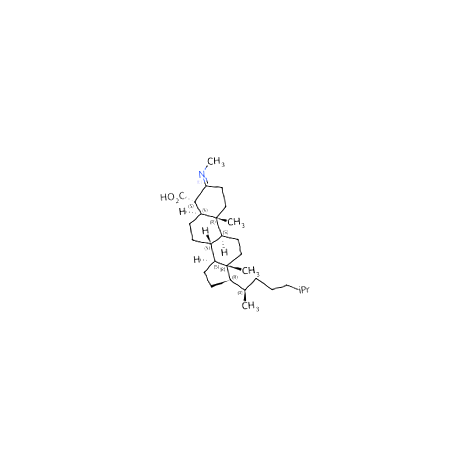 C/N=C1\CC[C@]2(C)[C@H]3CC[C@]4(C)[C@@H]([C@H](C)CCCC(C)C)CC[C@H]4[C@@H]3CC[C@H]2[C@@H]1C(=O)O